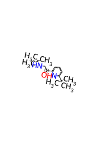 CC(C)(C)NC[C@H](O)c1cccc(C(C)(C)C)n1